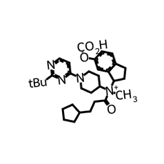 CC(C)(C)c1nccc(N2CCC([N+](C)(C(=O)CCC3CCCC3)C3CCc4ccc(OC(=O)O)cc43)CC2)n1